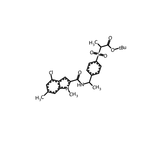 Cc1cc(Cl)c2cc(C(=O)NC(C)c3ccc(S(=O)(=O)C(C)C(=O)OC(C)(C)C)cc3)n(C)c2c1